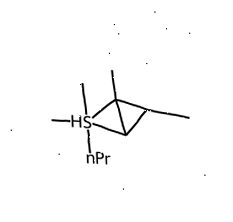 CCC[SH]1(C)(C)C2C(C)C21C